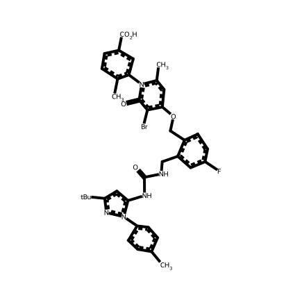 Cc1ccc(-n2nc(C(C)(C)C)cc2NC(=O)NCc2cc(F)ccc2COc2cc(C)n(-c3cc(C(=O)O)ccc3C)c(=O)c2Br)cc1